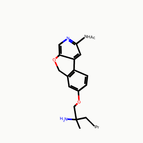 CC(=O)Nc1cc2c(cn1)OCc1cc(OCC(C)(N)CC(C)C)ccc1-2